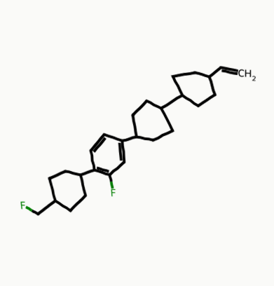 C=CC1CCC(C2CCC(c3ccc(C4CCC(CF)CC4)c(F)c3)CC2)CC1